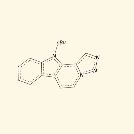 CCCCn1c2ccccc2c2ccn3nncc3c21